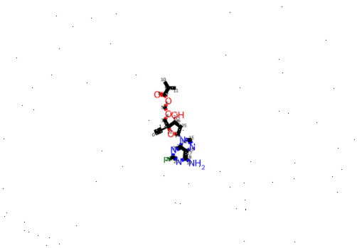 C#C[C@]1(COCOC(=O)C(C)C)O[C@@H](n2cnc3c(N)nc(F)nc32)C[C@H]1O